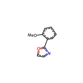 COc1ccccc1-c1ncco1